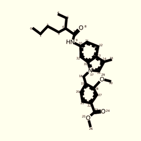 CCCCC(CC)C(=O)Nc1ccc2c(C)cn(Cc3ccc(C(=O)OC)cc3OC)c2c1